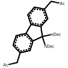 CCCCCCCCCCC1(CCCCCCCCCC)c2cc(CC(C)=O)ccc2-c2ccc(CC(C)=O)cc21